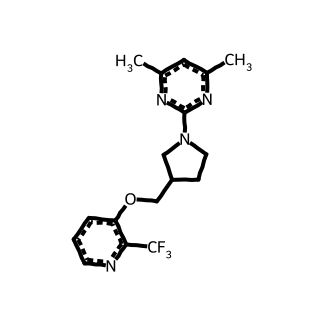 Cc1cc(C)nc(N2CCC(COc3cccnc3C(F)(F)F)C2)n1